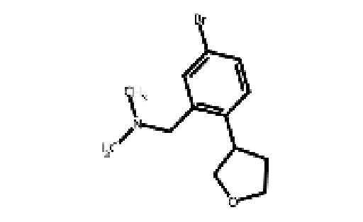 CN(C)Cc1cc(Br)ccc1C1CCOC1